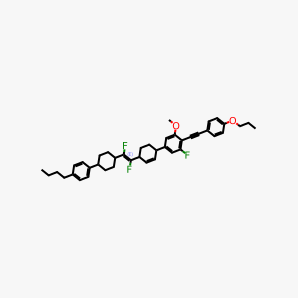 CCCCc1ccc(C2CCC(/C(F)=C(\F)C3C=CC(c4cc(F)c(C#Cc5ccc(OCCC)cc5)c(OC)c4)CC3)CC2)cc1